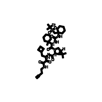 C#CCCNC(=O)C(=O)C(CC1CCC1)NC(=O)[C@@H]1C2[C@H](CN1C(=O)[C@@H](NC(=O)NC1(CS(=O)(=O)C(C)(C)CC)CCCCC1)C1(C)CCCCC1)C2(C)C